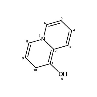 OC1=C2C=CC=CN2C=CC1